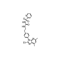 CCc1nc2c(C)cc(C)nc2n1-c1ccc(CCNC(=O)NS(=O)(=O)c2ccccn2)cc1